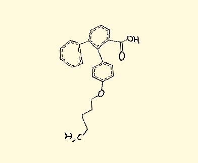 CCCCCOc1ccc(-c2c(C(=O)O)cccc2-c2ccccc2)cc1